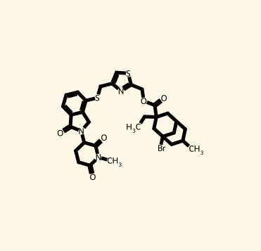 CCC1(C(=O)OCc2nc(CSc3cccc4c3CN(C3CCC(=O)N(C)C3=O)C4=O)cs2)CC2CC(C)CC(Br)(C2)C1